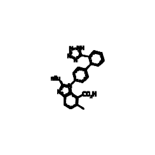 CCCCc1nc2ccc(C)c(C(=O)O)c2n1-c1ccc(-c2ccccc2-c2nnn[nH]2)cc1